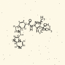 Cn1nc(NC(=O)c2ccc3c(c2)N(Cc2cnc4cnccn24)CC3)cc1C(C)(C)C